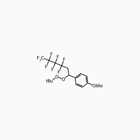 COc1ccc(C(CC(F)(F)C(F)(F)C(F)(F)C(F)(F)F)OOC(C)(C)C)cc1